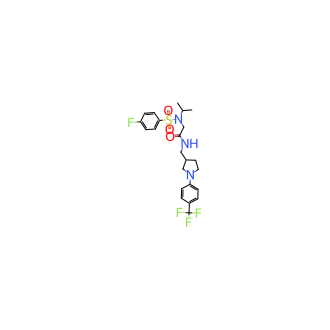 CC(C)N(CC(=O)NCC1CCN(c2ccc(C(F)(F)F)cc2)C1)S(=O)(=O)c1ccc(F)cc1